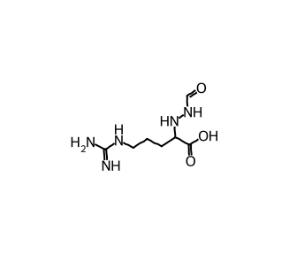 N=C(N)NCCCC(NNC=O)C(=O)O